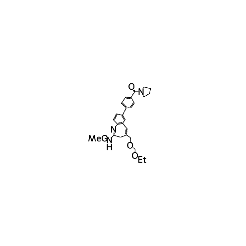 CCOCOCC1=Cc2cc(-c3ccc(C(=O)N4CCCC4)cc3)ccc2N=C(NOC)C1